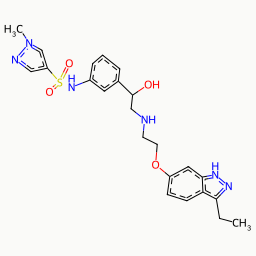 CCc1n[nH]c2cc(OCCNCC(O)c3cccc(NS(=O)(=O)c4cnn(C)c4)c3)ccc12